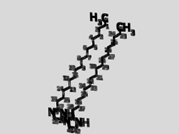 CCCCCCCCCCCCCCCCCc1ncc[nH]1.CCCCCCCCCCCCCCCCCc1ncc[nH]1